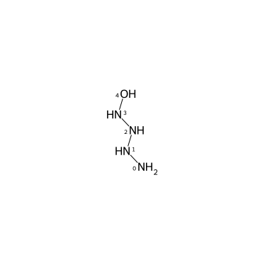 NNNNO